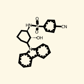 N#Cc1ccc(S(=O)(=O)N[C@@H]2CCCC(n3c4ccccc4c4ccccc43)[C@H]2O)cc1